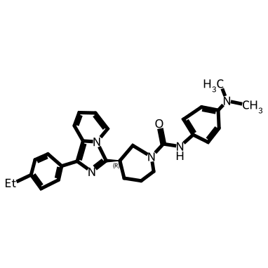 CCc1ccc(-c2nc([C@@H]3CCCN(C(=O)Nc4ccc(N(C)C)cc4)C3)n3ccccc23)cc1